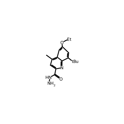 CCOc1cc(C(C)(C)C)c2nc(C(=O)NN)cc(C)c2c1